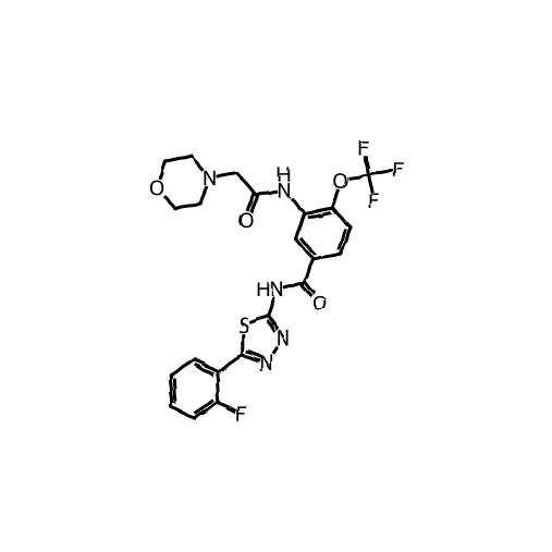 O=C(CN1CCOCC1)Nc1cc(C(=O)Nc2nnc(-c3ccccc3F)s2)ccc1OC(F)(F)F